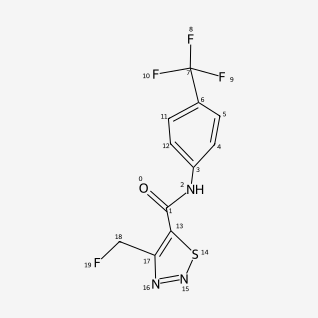 O=C(Nc1ccc(C(F)(F)F)cc1)c1snnc1CF